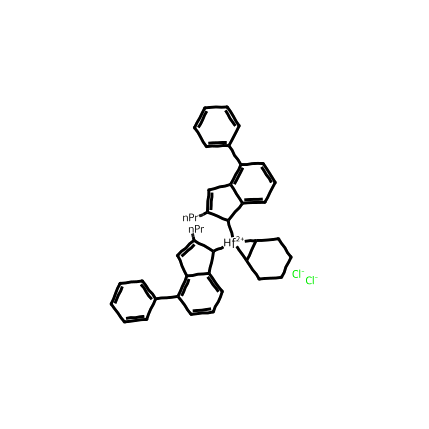 CCCC1=Cc2c(-c3ccccc3)cccc2[CH]1[Hf+2]1([CH]2C(CCC)=Cc3c(-c4ccccc4)cccc32)[CH]2CCCC[CH]21.[Cl-].[Cl-]